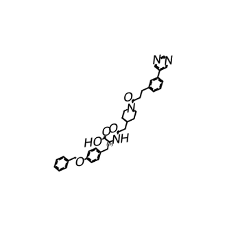 O=C(CC1CCN(C(=O)CCc2cccc(-c3cncnc3)c2)CC1)N[C@@H](Cc1ccc(OCc2ccccc2)cc1)C(=O)O